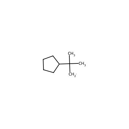 [CH2]C(C)(C)C1CCCC1